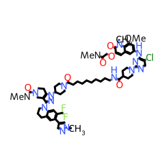 CNC(=O)COc1cc2cc(Nc3nc(N4CCC(C(=O)NCCCCCCCCCC(=O)N5CCC(n6nc(N7CCCc8cc(-c9cnn(C)c9)c(C(F)F)cc87)c7c6CCN(C(=O)NC)C7)CC5)CC4)ncc3Cl)cc(OC)c2n(C)c1=O